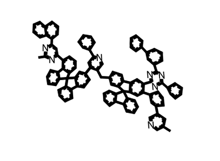 Cc1cncc(-c2cccc(-c3cc4c(cc3-c3nc(-c5ccccc5)nc(-c5cccc(-c6ccccc6)c5)n3)-c3ccc(Cc5cnc(-c6ccccc6)cc5-c5ccc6c(c5)C5(c7ccccc7-6)c6ccccc6-c6c(-c7cc(-c8cccc9ccccc89)nc(C)n7)cccc65)cc3C43c4ccccc4-c4ccccc43)c2)c1